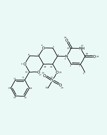 Cc1cn(C2COC3COC(c4ccccc4)OC3C2OS(C)(=O)=O)c(=O)[nH]c1=O